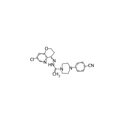 C=C(N/N=C1/CCOc2cc(Cl)cnc21)N1CCN(c2ccc(C#N)cc2)CC1